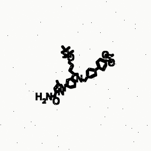 Cc1cc(C(N)=O)nn1-c1ccc2c(c1)c(C=CCO[Si](C)(C)C(C)(C)C)cn2Cc1ccc(-c2ccc(S(C)(=O)=O)cc2)cc1